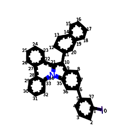 Ic1cccc(-c2ccc3c(-c4ccc5ccccc5c4)c4c5ccccc5c5ccccc5n4c3c2)c1